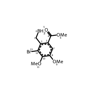 BCc1c(C(=O)OC)cc(OC)c(OC)c1Br